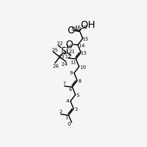 CC(C)=CCC/C(C)=C/CC/C(C)=C/C(CC(=O)O)O[Si](C)(C)C(C)(C)C